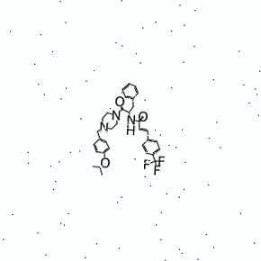 CC(C)Oc1ccc(CN2CCN(C(=O)C(Cc3ccccc3)NC(=O)C=Cc3ccc(C(F)(F)F)cc3)CC2)cc1